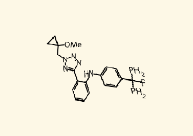 COC1(Cn2nnc(-c3ccccc3Nc3ccc(C(F)(P)P)cc3)n2)CC1